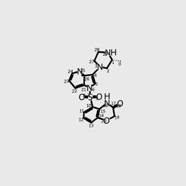 C[C@@H]1CN(c2cn(S(=O)(=O)c3cccc4c3NC(=O)CO4)c3cccnc23)CCN1